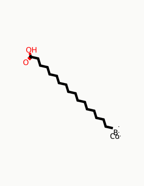 CCCCCCCCCCCCCCCCCC(=O)O.[B].[Co]